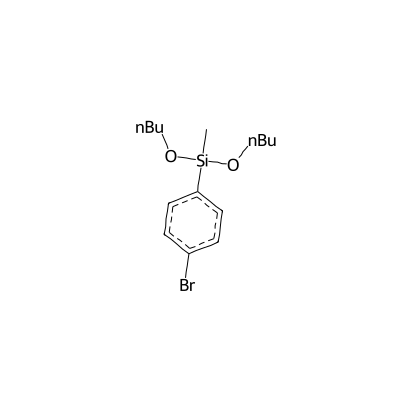 CCCCO[Si](C)(OCCCC)c1ccc(Br)cc1